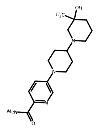 CNC(=O)c1ccc(N2CCC(N3CCCC(C)(O)C3)CC2)cn1